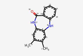 Cc1cc2c(cc1C)Nc1ccccc1C(=O)N2